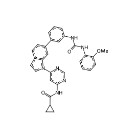 COc1ccccc1NC(=O)Nc1cccc(-c2ccc3ccn(-c4cc(NC(=O)C5CC5)ncn4)c3c2)c1